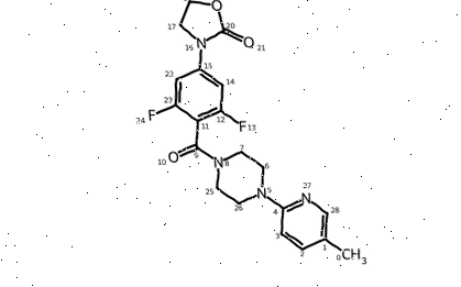 Cc1ccc(N2CCN(C(=O)c3c(F)cc(N4CCOC4=O)cc3F)CC2)nc1